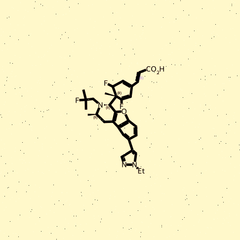 CCn1cc(-c2ccc3oc4c(c3c2)C[C@@H](C)N(CC(C)(C)F)[C@@H]4[C@@]2(C)C(F)=CC(/C=C/C(=O)O)=CC2F)cn1